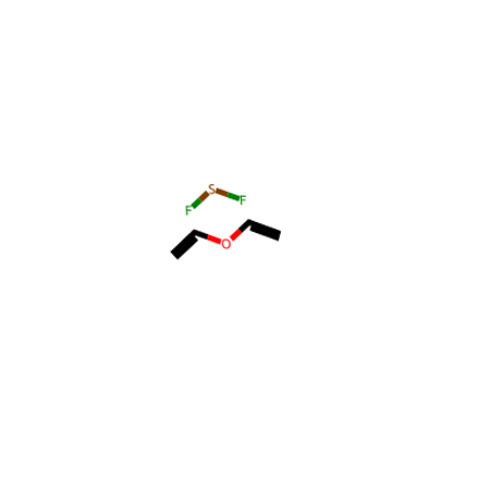 C=COC=C.FSF